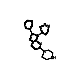 c1ccc(-c2nc3ccc(N4CCNCC4)nc3n2-c2ccnnc2)cc1